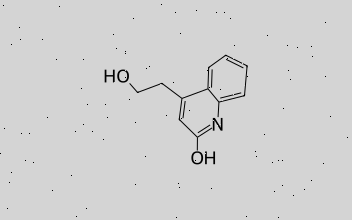 OCCc1cc(O)nc2ccccc12